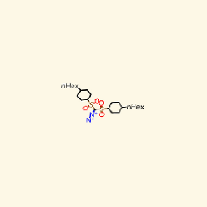 CCCCCCC1CCC(S(=O)(=O)C(=[N+]=[N-])S(=O)(=O)C2CCC(CCCCCC)CC2)CC1